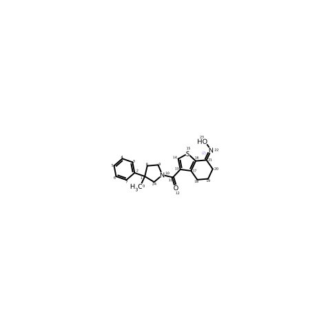 CC1(c2ccccc2)CCN(C(=O)c2csc3c2CCC/C3=N/O)C1